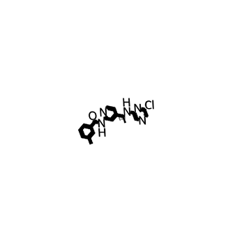 Cc1cccc(C(=O)Nc2cc([C@H](C)Nc3cncc(Cl)n3)ccn2)c1